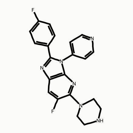 Fc1ccc(-c2nc3cc(F)c(N4CCNCC4)nc3n2-c2ccncc2)cc1